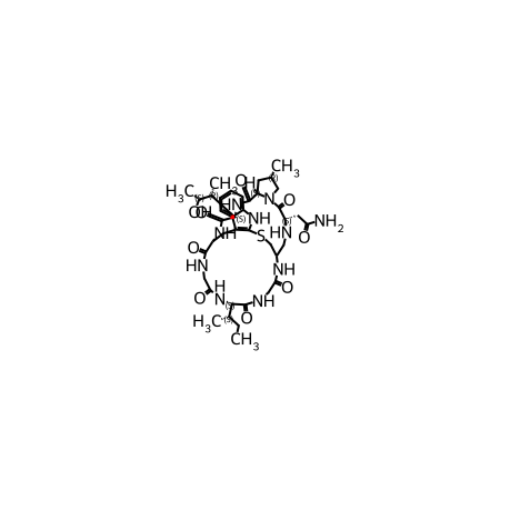 CC[C@H](C)[C@@H]1NC(=O)CNC(=O)C2Cc3c([nH]c4ccccc34)SCC(CN[C@@H](CC(N)=O)C(=O)N3C[C@H](C)C[C@H]3C(=O)N[C@@H]([C@@H](C)[C@H](C)O)C(=O)N2)NC(=O)CNC1=O